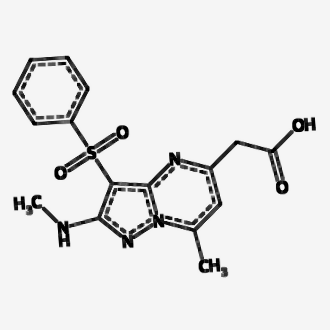 CNc1nn2c(C)cc(CC(=O)O)nc2c1S(=O)(=O)c1ccccc1